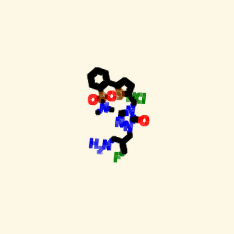 CN(C)S(=O)(=O)c1ccccc1-c1ccc(Cn2cnn(C/C(=C/F)CN)c2=O)s1.Cl